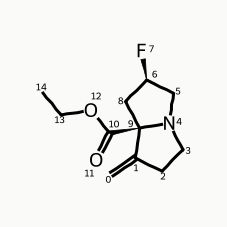 C=C1CCN2C[C@H](F)C[C@@]12C(=O)OCC